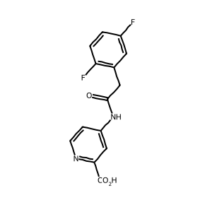 O=C(Cc1cc(F)ccc1F)Nc1ccnc(C(=O)O)c1